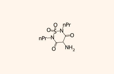 CCCN1C(=O)C(N)C(=O)N(CCC)S1(=O)=O